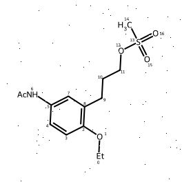 CCOc1ccc(NC(C)=O)cc1CCCOS(C)(=O)=O